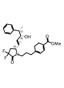 COC(=O)C1=CC=C(CCCN2C(=O)C(F)(F)C[C@@H]2/C=C/[C@@H](O)[C@@H](C)c2ccccc2)CC1